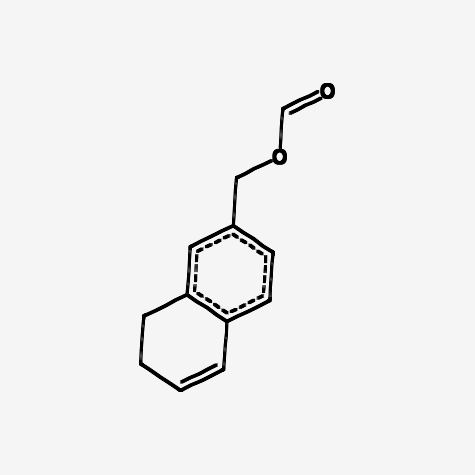 O=COCc1ccc2c(c1)CCC=C2